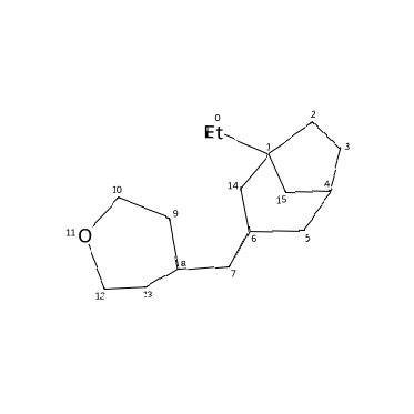 CCC12CCC(CC(CC3CCOCC3)C1)C2